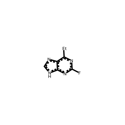 CCc1nc(F)nc2[nH]cnc12